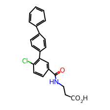 O=C(O)CCNC(=O)c1ccc(Cl)c(-c2ccc(-c3ccccc3)cc2)c1